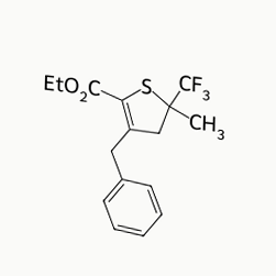 CCOC(=O)C1=C(Cc2ccccc2)CC(C)(C(F)(F)F)S1